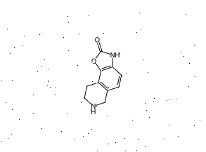 O=c1[nH]c2ccc3c(c2o1)CCNC3